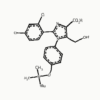 CC(C)(C)[Si](C)(C)Oc1ccc(-n2c(-c3ccc(Cl)cc3Cl)nc(C(=O)O)c2CO)cc1